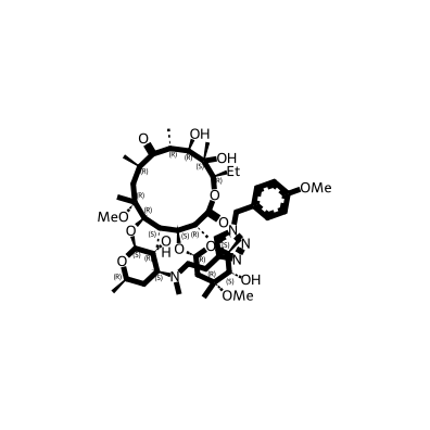 CC[C@H]1OC(=O)[C@H](C)[C@@H](O[C@H]2C[C@@](C)(OC)[C@@H](O)[C@H](C)O2)[C@H](C)[C@@H](O[C@@H]2O[C@H](C)C[C@H](N(C)CCc3cn(Cc4ccc(OC)cc4)nn3)[C@H]2O)[C@](C)(OC)C[C@@H](C)C(=O)[C@H](C)[C@@H](O)[C@]1(C)O